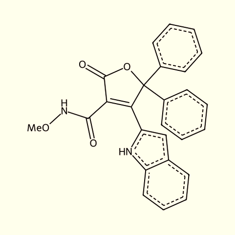 CONC(=O)C1=C(c2cc3ccccc3[nH]2)C(c2ccccc2)(c2ccccc2)OC1=O